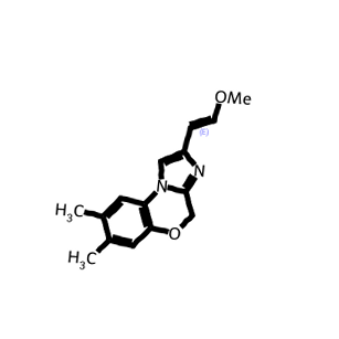 CO/C=C/c1cn2c(n1)COc1cc(C)c(C)cc1-2